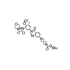 CC(C)(C)OC(=O)N1CC2(C1)CN(c1ccc3c(=O)n(-c4ccc(OC(F)(F)F)c(NC(=O)C5(N6CCOCC6)CC5)c4)cnc3c1)C2